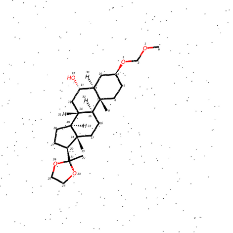 COCO[C@H]1CC[C@@]2(C)[C@H](C1)[C@@H](O)C[C@@H]1[C@@H]2CC[C@]2(C)[C@@H](C3(C)OCCO3)CC[C@@H]12